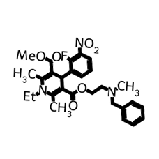 CCN1C(C)=C(C(=O)OC)C(c2cccc([N+](=O)[O-])c2F)C(C(=O)OCCN(C)Cc2ccccc2)=C1C